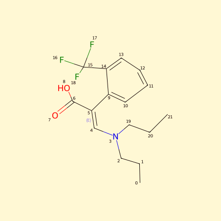 CCCN(/C=C(/C(=O)O)c1ccccc1C(F)(F)F)CCC